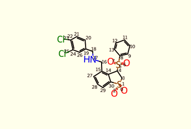 O=S1(=O)CC(S(=O)(=O)c2ccccc2)c2c(CNCc3ccc(Cl)c(Cl)c3)cccc21